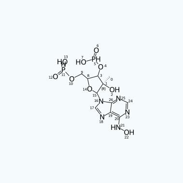 C[C@@]1(O)C(O[PH](=O)O)C(CO[PH](=O)O)OC1n1cnc2c(NO)ncnc21